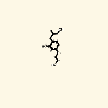 CC(CO)Cc1ccc(OCCO)cc1O